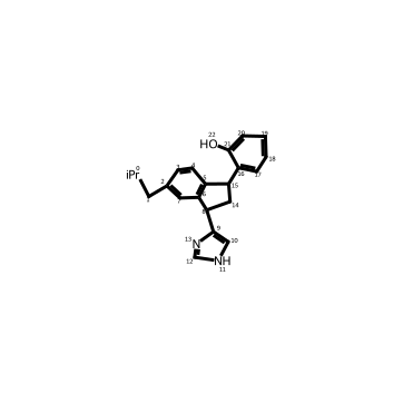 CC(C)Cc1ccc2c(c1)C(c1c[nH]cn1)CC2c1ccccc1O